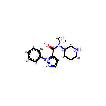 CN(C(=O)c1ccnn1-c1ccccc1)C1CCCNC1